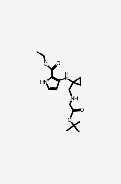 CCOC(=O)c1[nH]ccc1NC1(CNCC(=O)OC(C)(C)C)CC1